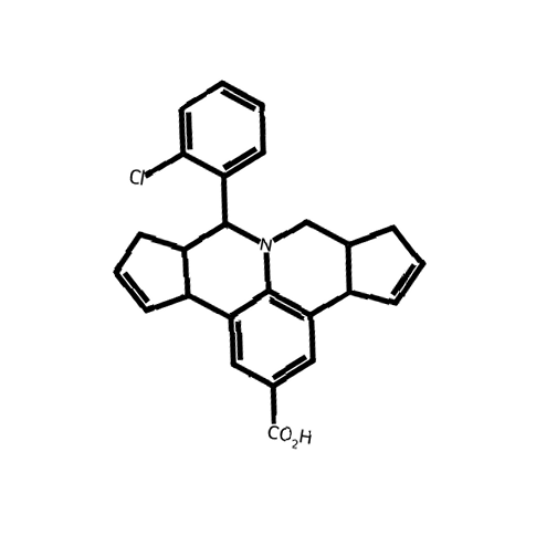 O=C(O)c1cc2c3c(c1)C1C=CCC1C(c1ccccc1Cl)N3CC1CC=CC21